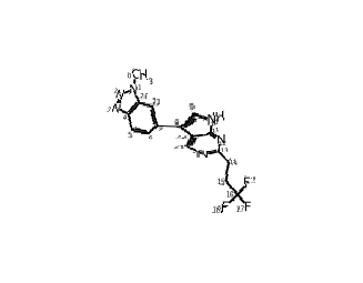 Cn1nnc2ccc(-c3c[nH]c4nc(CCC(F)(F)F)ncc34)cc21